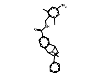 Cc1cc(N)nc(C)c1CNC(=O)c1ccc2c(c1)C1C=C(c3ccccc3)C2N1C